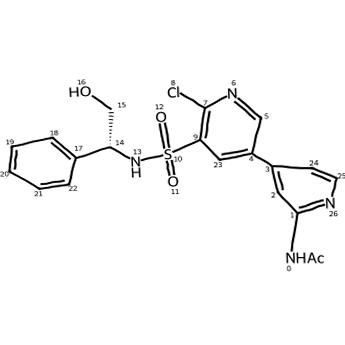 CC(=O)Nc1cc(-c2cnc(Cl)c(S(=O)(=O)N[C@@H](CO)c3ccccc3)c2)ccn1